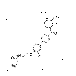 CCCC1CN(C(=O)c2ccc(-c3ccc(OCCNC(=O)OC(C)(C)C)c(Cl)c3)cc2)CCO1